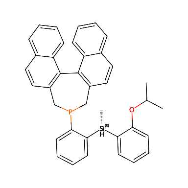 CC(C)Oc1ccccc1[Si@@H](C)c1ccccc1P1Cc2ccc3ccccc3c2-c2c(ccc3ccccc23)C1